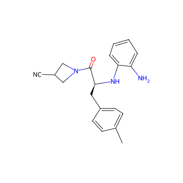 Cc1ccc(C[C@H](Nc2ccccc2N)C(=O)N2CC(C#N)C2)cc1